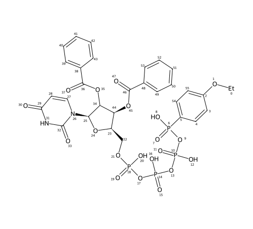 CCOc1ccc(P(=O)(O)OP(=O)(O)OP(=O)(O)OP(=O)(O)OC[C@H]2O[C@@H](n3ccc(=O)[nH]c3=O)C(OC(=O)c3ccccc3)[C@H]2OC(=O)c2ccccc2)cc1